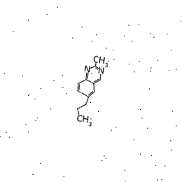 CCCc1ccc2nc(C)ncc2c1